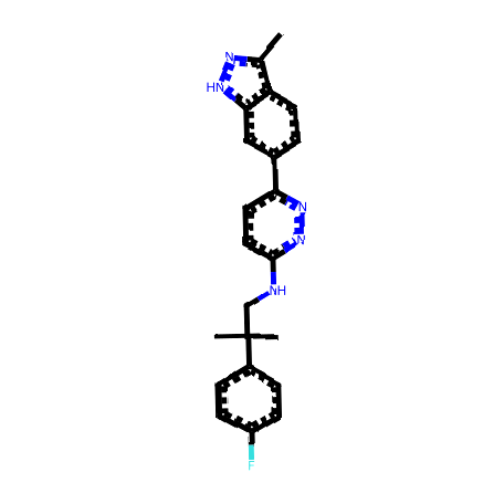 Cc1n[nH]c2cc(-c3ccc(NCC(C)(C)c4ccc(F)cc4)nn3)ccc12